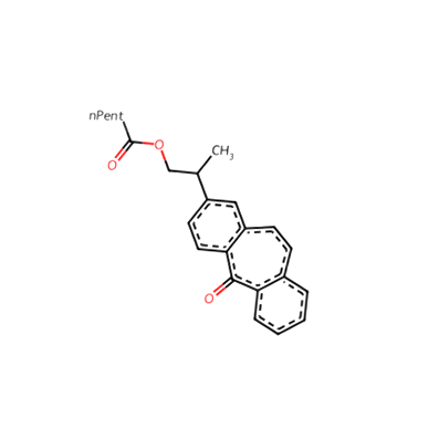 CCCCCC(=O)OCC(C)c1ccc2c(=O)c3ccccc3ccc2c1